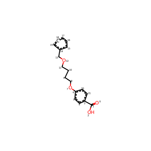 O=C(O)c1ccc(OCCCCOCc2ccccc2)cc1